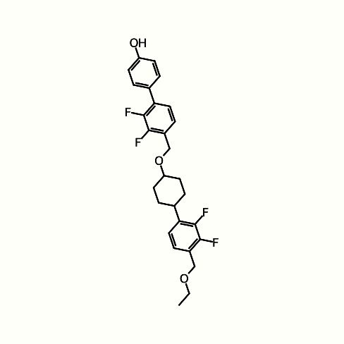 CCOCc1ccc(C2CCC(OCc3ccc(-c4ccc(O)cc4)c(F)c3F)CC2)c(F)c1F